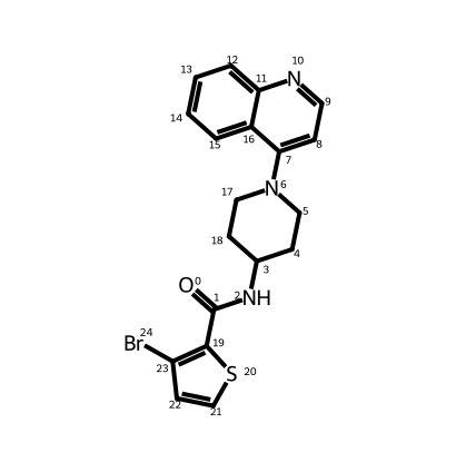 O=C(NC1CCN(c2ccnc3ccccc23)CC1)c1sccc1Br